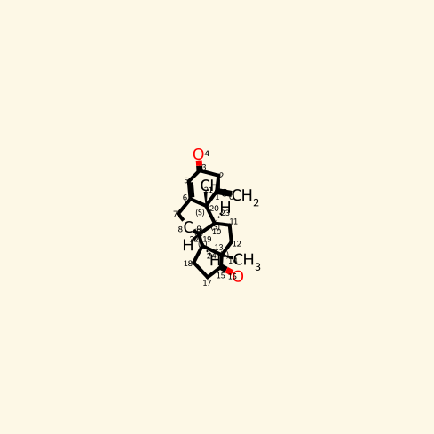 C=C1CC(=O)C=C2CC[C@@H]3[C@H](CC[C@]4(C)C(=O)CC[C@@H]34)[C@@]12C